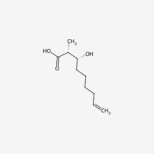 C=CCCCC[C@@H](O)[C@@H](C)C(=O)O